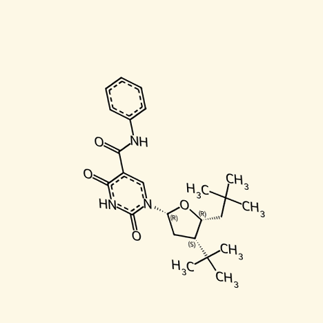 CC(C)(C)C[C@H]1O[C@@H](n2cc(C(=O)Nc3ccccc3)c(=O)[nH]c2=O)C[C@H]1C(C)(C)C